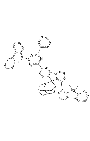 C[Si]1(C)c2ccccc2-c2cccc(-c3cccc4c3C3(c5ccc(-c6nc(-c7ccccc7)nc(-c7cc8ccccc8c8ccccc78)n6)cc5-4)C4CC5CC(C4)CC3C5)c21